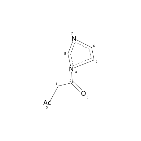 CC(=O)CC(=O)n1ccnc1